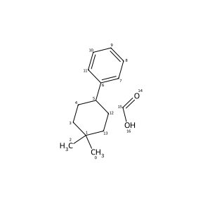 CC1(C)CCC(c2ccccc2)CC1.O=CO